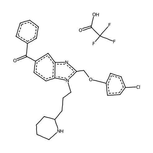 O=C(O)C(F)(F)F.O=C(c1ccccc1)c1ccc2c(c1)nc(COc1ccc(Cl)cc1)n2CCCC1CCCCN1